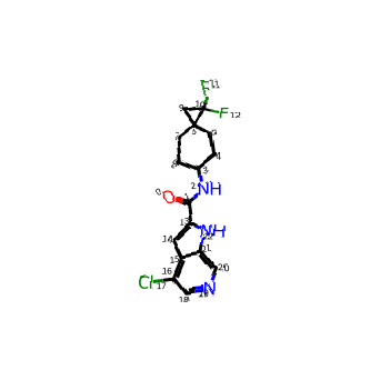 O=C(NC1CCC2(CC1)CC2(F)F)c1cc2c(Cl)cncc2[nH]1